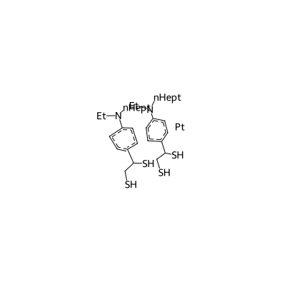 CCCCCCCN(CC)c1ccc(C(S)CS)cc1.CCCCCCCN(CC)c1ccc(C(S)CS)cc1.[Pt]